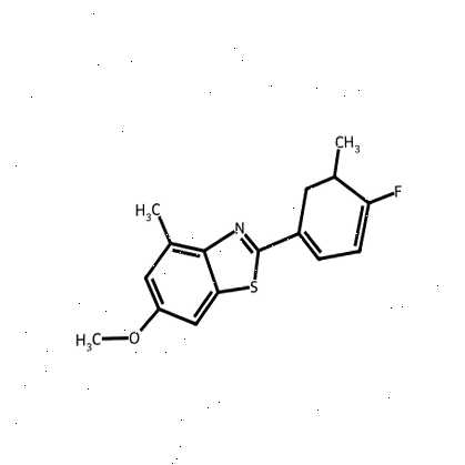 COc1cc(C)c2nc(C3=CC=C(F)C(C)C3)sc2c1